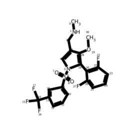 CNCc1cn(S(=O)(=O)c2cccc(C(F)(F)F)c2)c(-c2c(F)cccc2F)c1OC